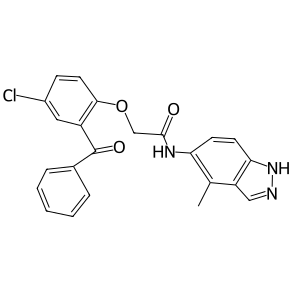 Cc1c(NC(=O)COc2ccc(Cl)cc2C(=O)c2ccccc2)ccc2[nH]ncc12